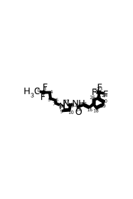 CC(F)(F)CCCCn1ccc(NC(=O)C=Cc2cccc(C(F)(F)F)c2)n1